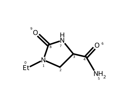 CCN1CC(C(N)=O)NC1=O